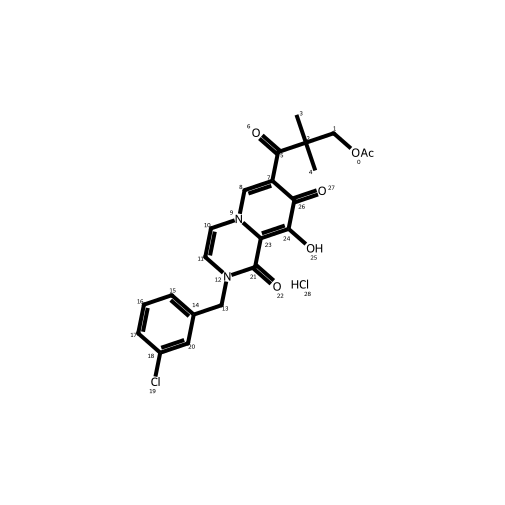 CC(=O)OCC(C)(C)C(=O)c1cn2ccn(Cc3cccc(Cl)c3)c(=O)c2c(O)c1=O.Cl